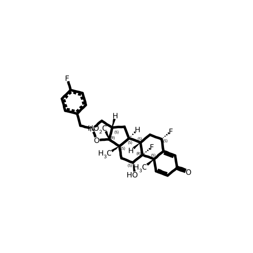 C[C@]12C=CC(=O)C=C1[C@@H](F)C[C@H]1[C@@H]3C[C@H]4CN(Cc5ccc(F)cc5)O[C@@]4(C(=O)O)[C@@]3(C)C[C@H](O)[C@@]12F